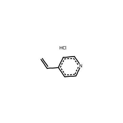 C=Cc1ccncc1.Cl